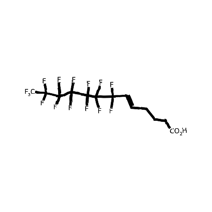 O=C(O)CCC/C=C/C(F)(F)C(F)(F)C(F)(F)C(F)(F)C(F)(F)C(F)(F)C(F)(F)F